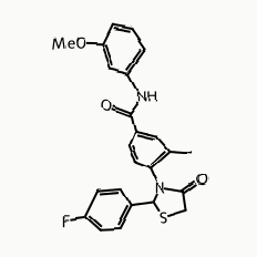 COc1cccc(NC(=O)c2ccc(N3C(=O)CSC3c3ccc(F)cc3)c(C)c2)c1